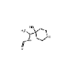 CC(NC=O)C1(O)CCNCC1